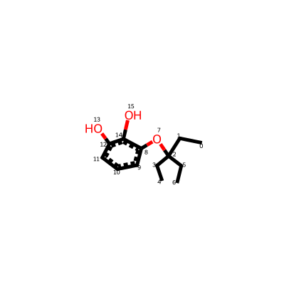 CCC(CC)(CC)Oc1cccc(O)c1O